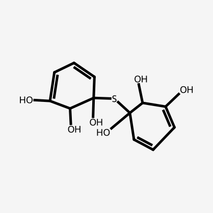 OC1=CC=CC(O)(SC2(O)C=CC=C(O)C2O)C1O